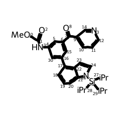 COC(=O)Nc1cc(C(=O)c2cccnc2)cc(-c2cccc3c2ccn3[Si](C(C)C)(C(C)C)C(C)C)c1